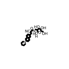 N#C/C(=C\c1ccc2cc(N3CCCCC3)ccc2c1)C(=O)NCC1C(O)OC(CO)C(O)C1O